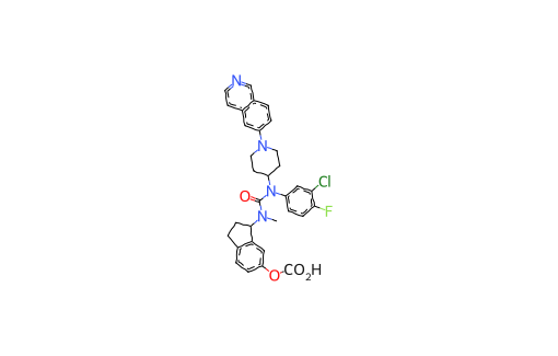 CN(C(=O)N(c1ccc(F)c(Cl)c1)C1CCN(c2ccc3cnccc3c2)CC1)C1CCc2ccc(OC(=O)O)cc21